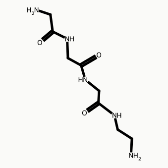 NCCNC(=O)CNC(=O)CNC(=O)CN